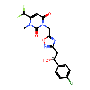 Cn1c(C(F)F)cc(=O)n(Cc2nc(C[C@H](O)c3ccc(Cl)cc3)no2)c1=O